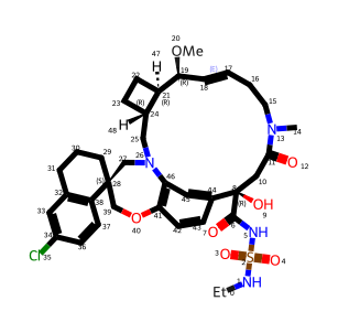 CCNS(=O)(=O)NC(=O)[C@@]1(O)CC(=O)N(C)CC/C=C/[C@H](OC)[C@@H]2CC[C@H]2CN2C[C@@]3(CCCc4cc(Cl)ccc43)COc3ccc1cc32